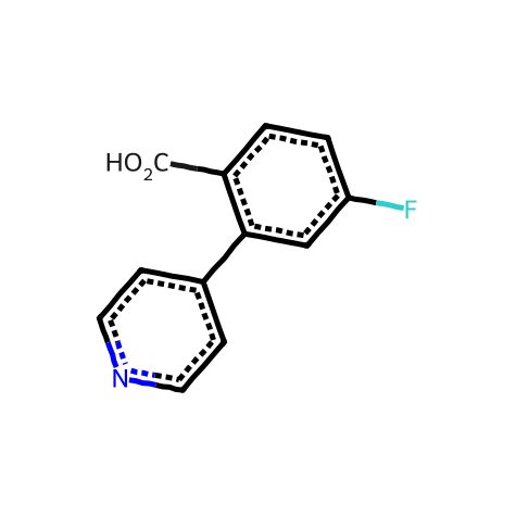 O=C(O)c1ccc(F)cc1-c1ccncc1